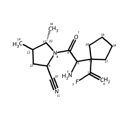 C=C(F)C1(C(N)C(=O)N2C(C#N)CC(C)[C@@H]2C)CCCC1